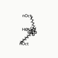 CCCCCCCCC=CCCCCCCCC(=O)P(C(=O)CCCCCCCC=CCCCCCCCC)C(O)C(O)CO